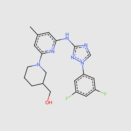 Cc1cc(Nc2ncn(-c3cc(F)cc(F)c3)n2)nc(N2CCCC(CO)C2)c1